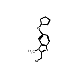 Cn1c(CO)nc2ccc(OC3CCCC3)cc21